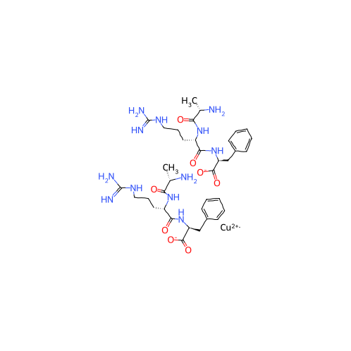 C[C@H](N)C(=O)N[C@@H](CCCNC(=N)N)C(=O)N[C@@H](Cc1ccccc1)C(=O)[O-].C[C@H](N)C(=O)N[C@@H](CCCNC(=N)N)C(=O)N[C@@H](Cc1ccccc1)C(=O)[O-].[Cu+2]